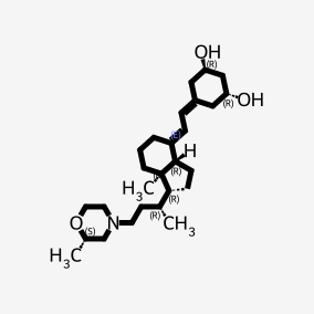 C[C@H](CCN1CCO[C@@H](C)C1)[C@H]1CC[C@H]2/C(=C/C=C3C[C@@H](O)C[C@H](O)C3)CCC[C@]12C